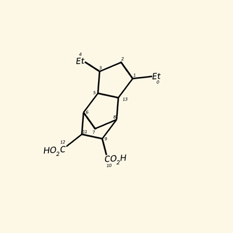 CCC1CC(CC)C2C3CC(C(C(=O)O)C3C(=O)O)C12